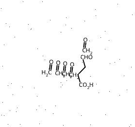 C=O.C=O.C=O.C=O.C=O.O=CCCC(=O)O